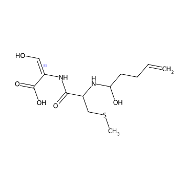 C=CCCC(O)NC(CSC)C(=O)N/C(=C/O)C(=O)O